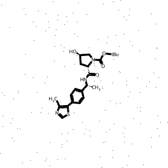 Cc1ncsc1-c1ccc([C@@H](C)NC(=O)[C@@H]2C[C@@H](O)CN2C(=O)OC(C)(C)C)cc1